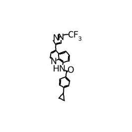 O=C(Nc1cccc2c(-c3cnn(CC(F)(F)F)c3)ccnc12)c1ccc(C2CC2)cc1